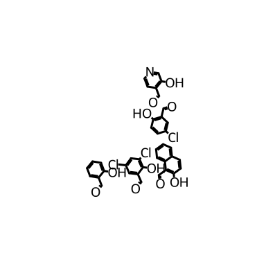 O=Cc1c(O)ccc2ccccc12.O=Cc1cc(Cl)cc(Cl)c1O.O=Cc1cc(Cl)ccc1O.O=Cc1ccccc1O.O=Cc1ccncc1O